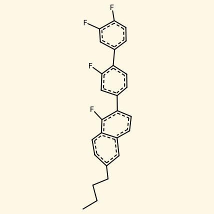 CCCCc1ccc2c(F)c(-c3ccc(-c4ccc(F)c(F)c4)c(F)c3)ccc2c1